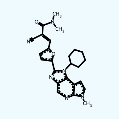 CN(C)C(=O)/C(C#N)=C/c1ccc(-c2nc3cnc4c(ccn4C)c3n2C2CCCCC2)o1